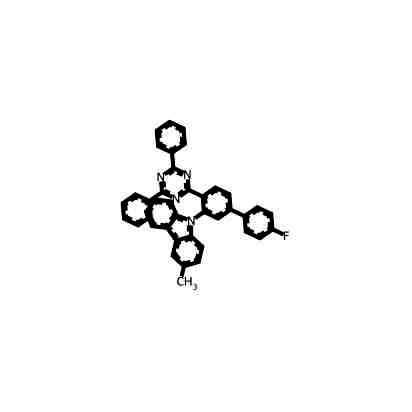 Cc1ccc2c(c1)c1ccccc1n2-c1cc(-c2ccc(F)cc2)ccc1-c1nc(-c2ccccc2)nc(-c2ccccc2)n1